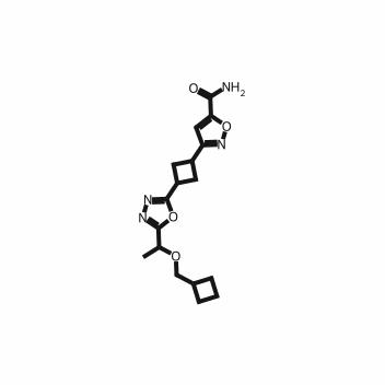 CC(OCC1CCC1)c1nnc(C2CC(c3cc(C(N)=O)on3)C2)o1